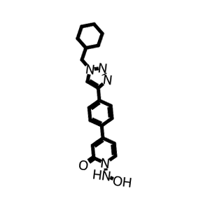 O=c1cc(-c2ccc(-c3cn(CC4CCCCC4)nn3)cc2)ccn1NO